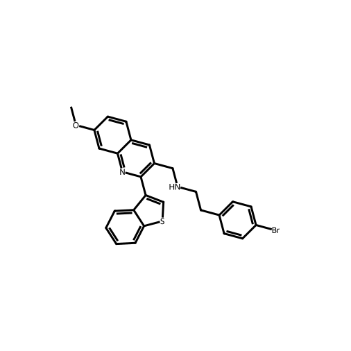 COc1ccc2cc(CNCCc3ccc(Br)cc3)c(-c3csc4ccccc34)nc2c1